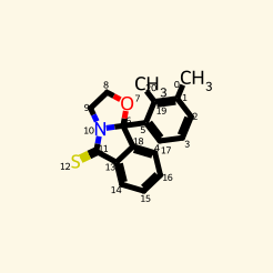 Cc1cccc(C23OCCN2C(=S)c2ccccc23)c1C